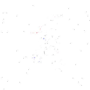 COc1ccc(-c2c(C(=O)O)n(Cc3ccc4nsnc4c3)c3cc(OCc4ccccc4)ccc23)cc1